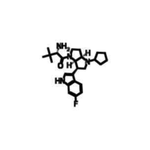 CC(C)(C)[C@H](N)C(=O)N1CC[C@@H]2[C@H]1[C@H](c1c[nH]c3cc(F)ccc13)CN2C1CCCC1